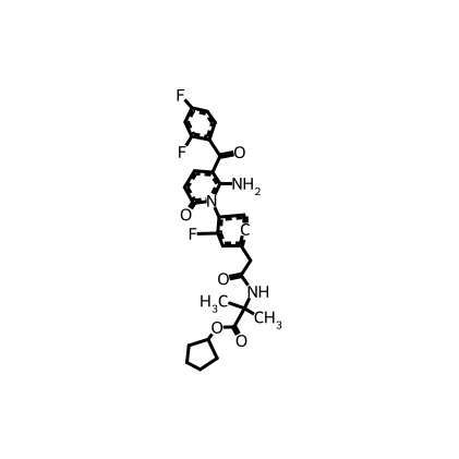 CC(C)(NC(=O)Cc1ccc(-n2c(N)c(C(=O)c3ccc(F)cc3F)ccc2=O)c(F)c1)C(=O)OC1CCCC1